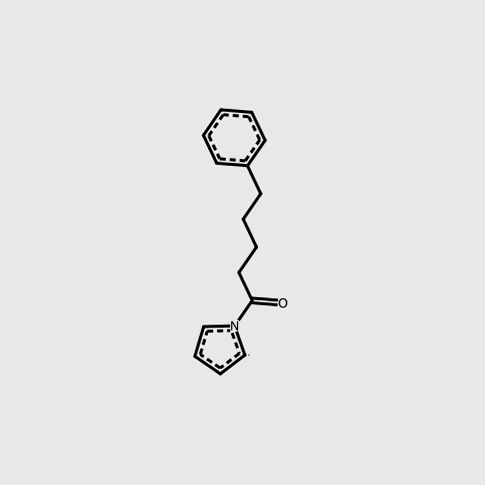 O=C(CCCCc1ccccc1)n1[c]ccc1